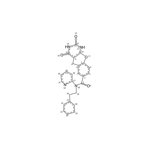 O=C(c1ccc2c(c1)Cc1c([nH]c(=O)[nH]c1=O)O2)N(CCc1ccccc1)c1ccccn1